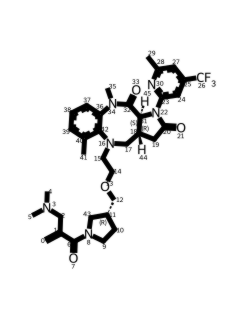 C=C(CN(C)C)C(=O)N1CC[C@@H](COCCN2C[C@H]3CC(=O)N(c4cc(C(F)(F)F)cc(C)n4)[C@@H]3C(=O)N(C)c3cccc(C)c32)C1